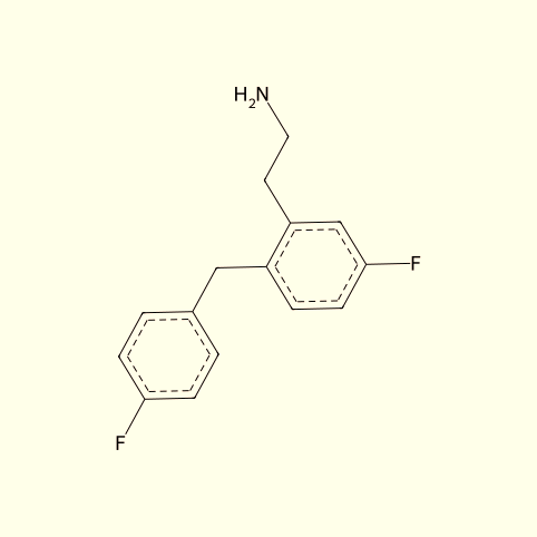 NCCc1cc(F)ccc1Cc1ccc(F)cc1